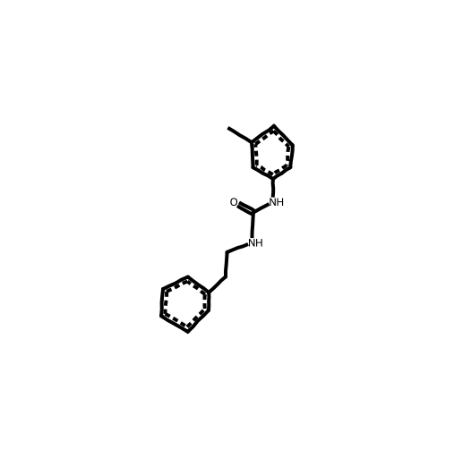 Cc1cccc(NC(=O)NCCc2ccccc2)c1